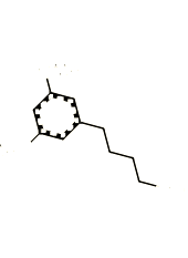 CCCCCCCCCCCCc1cc(OC)cc(OC)c1